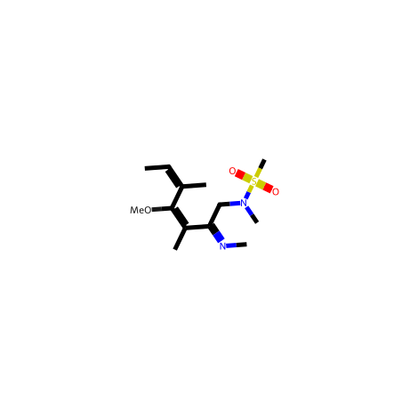 C\C=C(C)/C(OC)=C(C)\C(CN(C)S(C)(=O)=O)=N\C